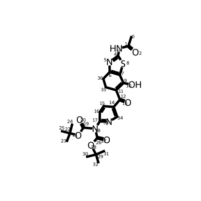 CC(=O)Nc1nc2c(s1)C(O)=C(C(=O)c1ccc(N(C(=O)OC(C)(C)C)C(=O)OC(C)(C)C)nc1)CC2